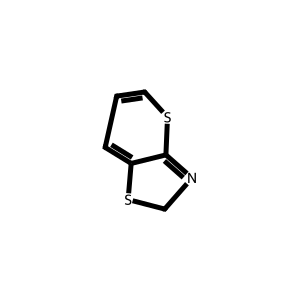 C1=CSC2=NCSC2=C1